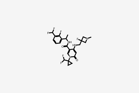 CC(NC(=O)c1cn(C2(C(F)F)CC2)c(=O)cc1NCC1(F)CN(C)C1)c1cccc(C(F)F)c1F